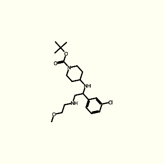 COCCNCC(NC1CCN(C(=O)OC(C)(C)C)CC1)c1cccc(Cl)c1